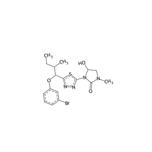 CCC(C)C(Oc1cccc(Br)c1)c1nnc(N2C(=O)N(C)CC2O)s1